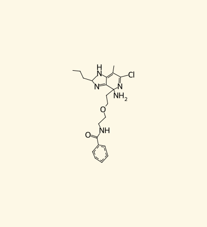 CCCC1N=C2C(=C(C)C(Cl)=NC2(N)CCOCCNC(=O)c2ccccc2)N1